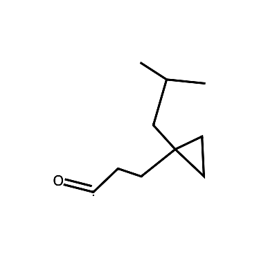 CC(C)CC1(CC[C]=O)CC1